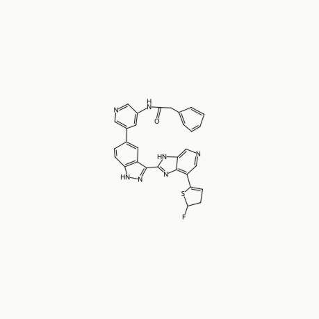 O=C(Cc1ccccc1)Nc1cncc(-c2ccc3[nH]nc(-c4nc5c(C6=CCC(F)S6)cncc5[nH]4)c3c2)c1